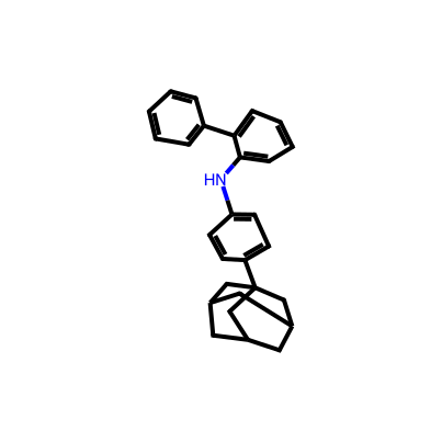 c1ccc(-c2ccccc2Nc2ccc(C34CC5CC(CC(C5)C3)C4)cc2)cc1